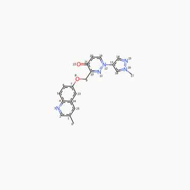 Cc1cnc2ccc(OCc3nn(-c4cnn(C)c4)ccc3=O)cc2c1